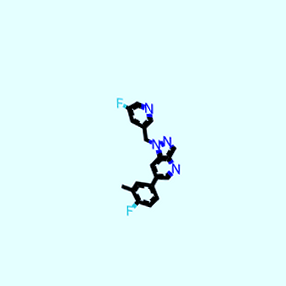 Cc1cc(-c2cnc3cnn(Cc4cncc(F)c4)c3c2)ccc1F